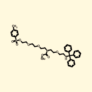 Cc1ccc(S(=O)(=O)OCCOCCOCCN(CCOCCNC(c2ccccc2)(c2ccccc2)c2ccccc2)C(=O)OC(C)(C)C)cc1